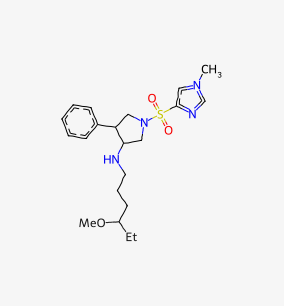 CCC(CCCNC1CN(S(=O)(=O)c2cn(C)cn2)CC1c1ccccc1)OC